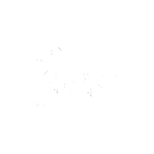 C=C(/C(C)=C\C=C/C)/C(=N\O)C(=O)c1ccc2c(c1)c1cc(C(=O)c3cccs3)ccc1n2CCO